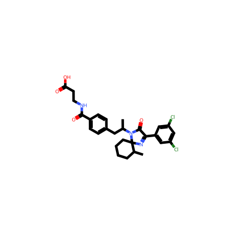 CC(Cc1ccc(C(=O)NCCC(=O)O)cc1)N1C(=O)C(c2cc(Cl)cc(Cl)c2)=NC12CCCCC2C